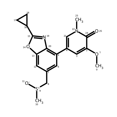 COc1cc(-c2cc(C[S+](C)[O-])cc3oc(C4CC4)nc23)cn(C)c1=O